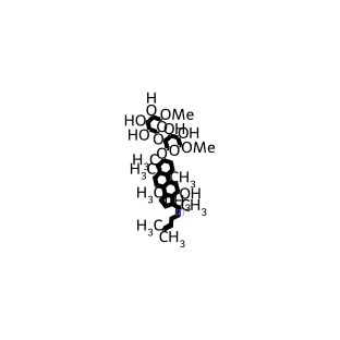 COC1OC(OC2C(OC3CCC4(C)C(CCC5(C)C4CC(O)C4C(/C(C)=C\CC=C(C)C)CCC45C)C3(C)C)OC(OC)C(O)C2O)C(O)C(O)C1O